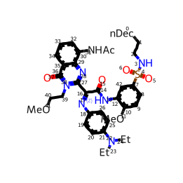 CCCCCCCCCCCCNS(=O)(=O)c1ccc(OC)c(NC(=O)/C(=N\c2ccc(N(CC)CC)cc2)c2nc3c(NC(C)=O)cccc3c(=O)n2CCOC)c1